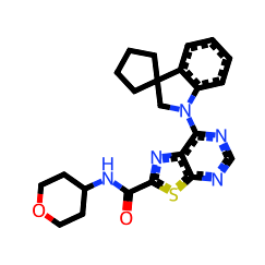 O=C(NC1CCOCC1)c1nc2c(N3CC4(CCCC4)c4ccccc43)ncnc2s1